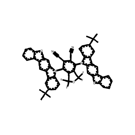 CC(C)(C)c1ccc2c(c1)c1cc3c(cc1n2-c1c(C#N)c(C#N)c(-n2c4ccc(C(C)(C)C)cc4c4cc5c(cc42)oc2ccccc25)c2c1C(F)(F)OC2(F)F)oc1ccccc13